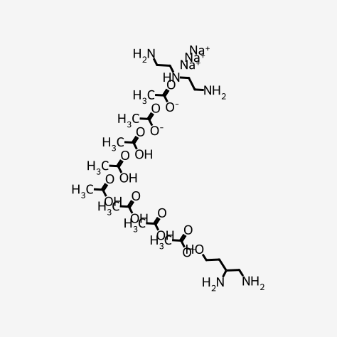 CC(=O)O.CC(=O)O.CC(=O)O.CC(=O)O.CC(=O)O.CC(=O)[O-].CC(=O)[O-].CC(=O)[O-].NCC(N)CCO.NCCNCCN.[Na+].[Na+].[Na+]